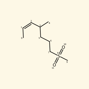 C/C=C\C(C)CCCS(C)(=O)=O